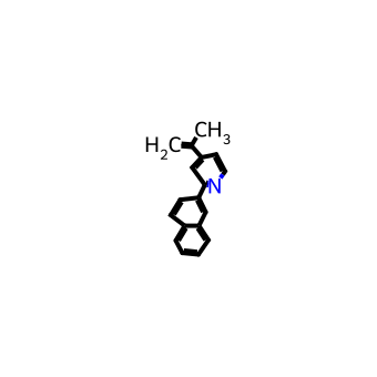 C=C(C)c1ccnc(-c2ccc3ccccc3c2)c1